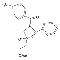 COCC[N+]1([O-])C=C(c2ccccc2)N(C(=O)c2ccc(C(F)(F)F)cc2)C1